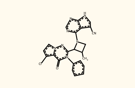 CC1CN(c2ncnc3[nH]cc(C#N)c23)C1c1nn2ccc(Cl)c2c(=O)n1-c1ccccc1